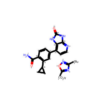 CC(C)(C)c1noc(C(=O)O)n1.NC(=O)c1ccc(-c2ccnc3[nH]c(=O)[nH]c23)cc1C1CC1